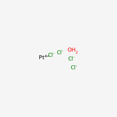 O.[Cl-].[Cl-].[Cl-].[Cl-].[Pt+4]